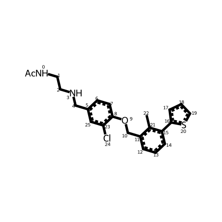 CC(=O)NCCNCc1ccc(OCc2cccc(-c3cccs3)c2C)c(Cl)c1